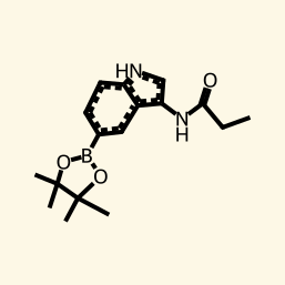 CCC(=O)Nc1c[nH]c2ccc(B3OC(C)(C)C(C)(C)O3)cc12